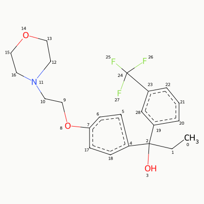 CCC(O)(c1ccc(OCCN2CCOCC2)cc1)c1cccc(C(F)(F)F)c1